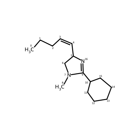 CCC/C=C\C1CN(C)C(C2CCCCC2)=N1